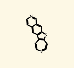 C1=Cc2sc3cc4cnccc4cc3c2C=CN=1